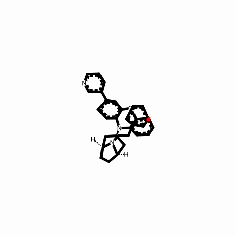 c1ccc(CCN2[C@@H]3CC[C@H]2C[C@@H](N2c4ccccc4Oc4cc(-c5cccnc5)ccc42)C3)cc1